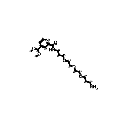 COC(OC)c1ccnc(C(=O)NCCCOCCOCCOCCCN)c1